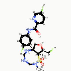 CN1CNCN[C@@]2(c3cc(NC(=O)c4ccc(F)cn4)ccc3F)CO[C@@H](CF)[C@H]2S1(=O)=O